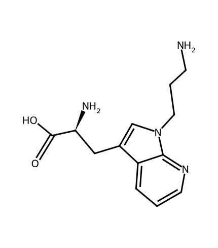 NCCCn1cc(C[C@H](N)C(=O)O)c2cccnc21